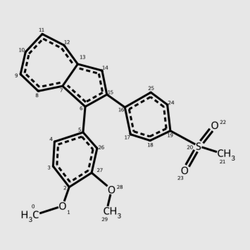 COc1ccc(-c2c3cccccc-3cc2-c2ccc(S(C)(=O)=O)cc2)cc1OC